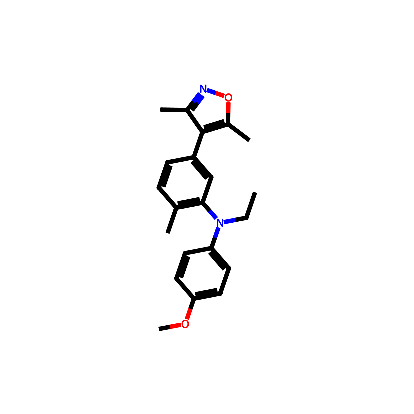 CCN(c1ccc(OC)cc1)c1cc(-c2c(C)noc2C)ccc1C